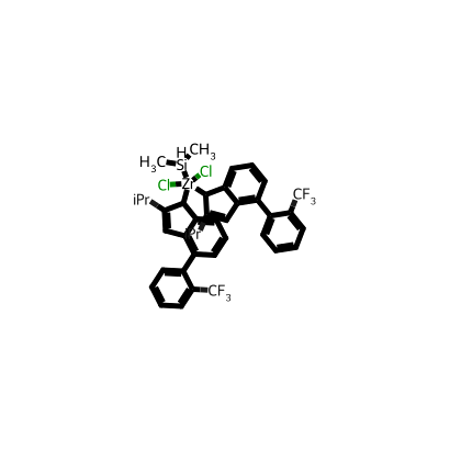 CC(C)C1=Cc2c(-c3ccccc3C(F)(F)F)cccc2[CH]1[Zr]([Cl])([Cl])([CH]1C(C(C)C)=Cc2c(-c3ccccc3C(F)(F)F)cccc21)[SiH](C)C